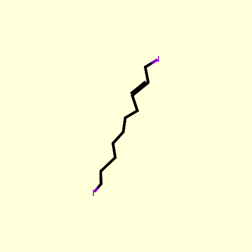 ICC=CCCCCCCCI